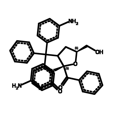 Nc1cccc(C(c2ccccc2)(c2ccccc2)C2C[C@@H](CO)O[C@@]2(C(=O)c2ccccc2)n2ccc(N)nc2=O)c1